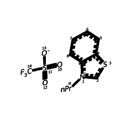 CCC[n+]1csc2ccccc21.O=S(=O)([O-])C(F)(F)F